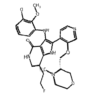 COc1c(Cl)cccc1Nc1c(-c2ccncc2OC[C@@H]2COCCN2C)[nH]c2c1C(=O)NCC2CCF